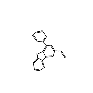 O=Cc1cc(-c2ccccc2)c2[nH]c3ccccc3c2c1